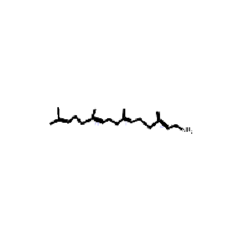 CC(C)=CCC/C(C)=C/CC/C(C)=C/CC/C(C)=C/CN